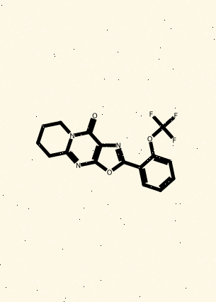 O=c1c2nc(-c3ccccc3OC(F)(F)F)oc2nc2n1CCCC2